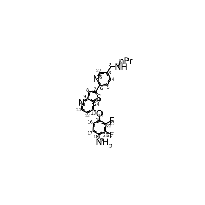 CCCNCc1ccc(-c2cc3nccc(Oc4ccc(N)c(F)c4F)c3s2)nc1